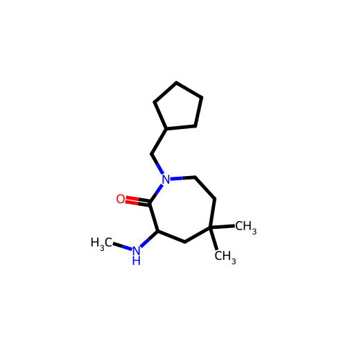 CNC1CC(C)(C)CCN(CC2CCCC2)C1=O